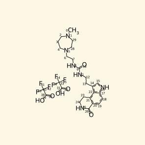 CN1CCCN(CCNC(=O)NCCc2c[nH]c3ccc4c(c23)CCNC4=O)CC1.O=C(O)C(F)(F)F.O=C(O)C(F)(F)F